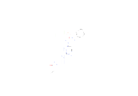 C=CC(=O)NC1CCCCC1Nc1ncc2c(n1)N(CC(F)F)C(=O)N(c1cc(OC)cc(OC)c1Cl)C2